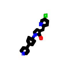 O=C1C(Cc2ccc(Cl)cn2)CCN1c1ccc(-c2ccncc2)cc1